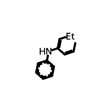 C/C=C\C(=C/CC)Nc1ccccc1